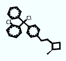 C[C@@H]1CCC1CCc1ccc(C(Cl)(c2ccccc2)c2ccccc2Cl)cc1